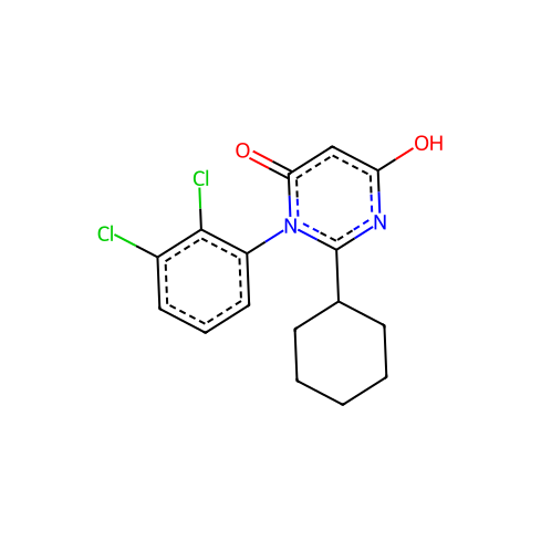 O=c1cc(O)nc(C2CCCCC2)n1-c1cccc(Cl)c1Cl